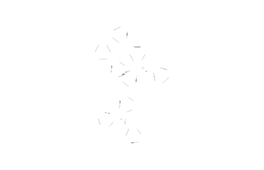 c1ccc(-n2c3ccccc3c3cc(-c4ccc5c6c7c(ccc6n(-c6ccccc6)c5c4)-c4ccccc4C7(c4ccccc4)c4ccccc4)ccc32)cc1